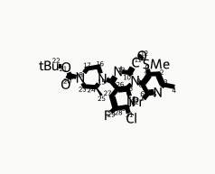 CSc1cc(C)nc(C(C)C)c1N1C(=C=O)N=C(N2CCN(C(=O)OC(C)(C)C)C[C@@H]2C)c2cc(F)c(Cl)nc21